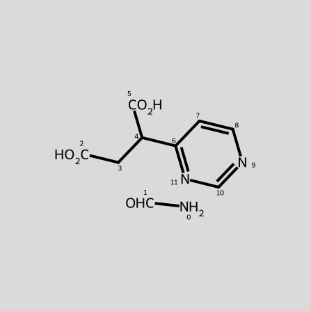 NC=O.O=C(O)CC(C(=O)O)c1ccncn1